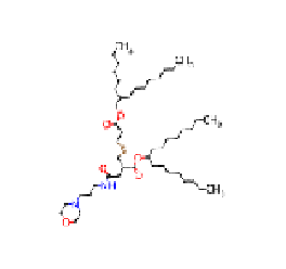 CCCCCCCCC(CCCCCC)COC(=O)CCSCC(CC(=O)NCCCN1CCOCC1)C(=O)OC(CCCCCCCC)CCCCCCCC